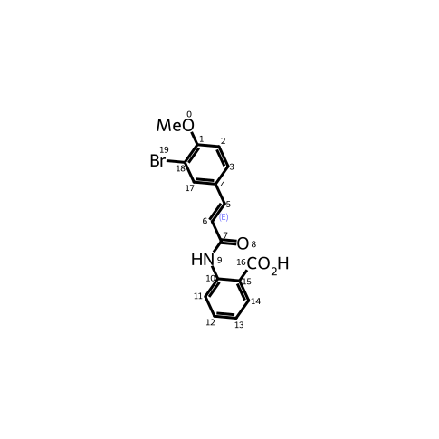 COc1ccc(/C=C/C(=O)Nc2ccccc2C(=O)O)cc1Br